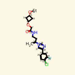 C=C(CCNC(=O)CO[C@H]1C[C@@H](OCC)C1)n1cnc(-c2ccc(Cl)c(F)c2)c1